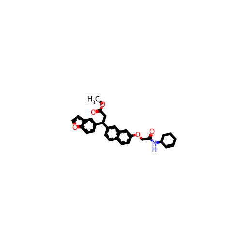 COC(=O)CC(c1ccc2ccc(OCC(=O)NC3C=CCCC3)cc2c1)c1ccc2occc2c1